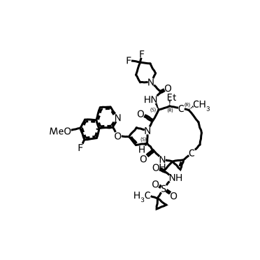 CC[C@@H]1C[C@H](C)CCCCC2=CC2(C(=O)NS(=O)(=O)C2(C)CC2)NC(=O)[C@@H]2C=C(Oc3nccc4cc(OC)c(F)cc34)CN2C(=O)[C@H]1NC(=O)N1CCC(F)(F)CC1